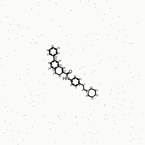 O=C(Nc1ccc(CCN2CCCCC2)cc1)C1=Cc2cc(-c3ccccc3)ccc2CC1